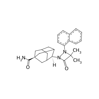 CC1(C)C(=O)N([C@H]2C3CC4CC2C[C@@](C(N)=O)(C4)C3)N1c1cccc2ccccc12